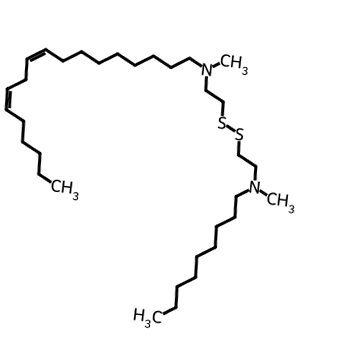 CCCCC/C=C\C/C=C\CCCCCCCCN(C)CCSSCCN(C)CCCCCCCCC